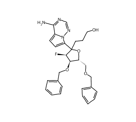 Nc1ncnn2c(C3(CCCO)O[C@H](COCc4ccccc4)[C@@H](OCc4ccccc4)[C@H]3F)ccc12